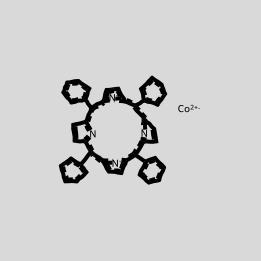 C1=Cc2nc1c(-c1ccccc1)c1ccc([n-]1)c(-c1ccccc1)c1nc(c(-c3ccccc3)c3ccc([n-]3)c2-c2ccccc2)C=C1.[Co+2]